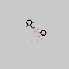 NS(=O)(=O)c1ccccc1NS(=O)(=O)/C=C/c1c(Cl)cccc1Cl